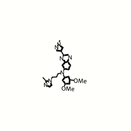 COc1cc(OC)cc(N(CCCn2ccnc2C)c2ccc3ncc(-c4cnn(C)c4)nc3c2)c1